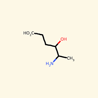 CC(N)C(O)CCC(=O)O